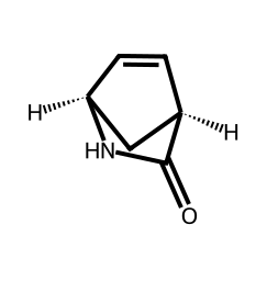 O=C1N[C@H]2C=C[C@@H]1C2